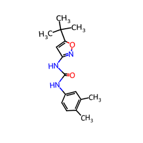 Cc1ccc(NC(=O)Nc2cc(C(C)(C)C)on2)cc1C